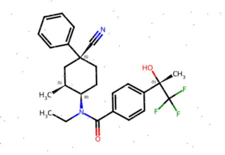 CCN(C(=O)c1ccc([C@](C)(O)C(F)(F)F)cc1)[C@@H]1CC[C@@](C#N)(c2ccccc2)C[C@@H]1C